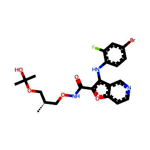 C[C@@H](CONC(=O)c1oc2ccncc2c1Nc1ccc(Br)cc1F)COC(C)(C)O